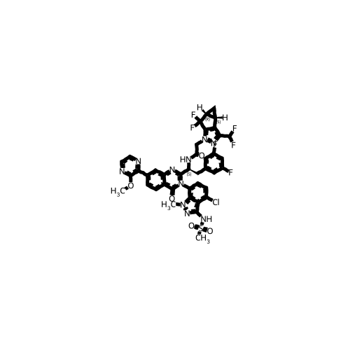 COc1nccnc1-c1ccc2c(=O)n(-c3ccc(Cl)c4c(NS(C)(=O)=O)nn(C)c34)c([C@H](Cc3cc(F)cc(F)c3)NC(=O)Cn3nc(C(F)F)c4c3C(F)(F)[C@@H]3C[C@H]43)nc2c1